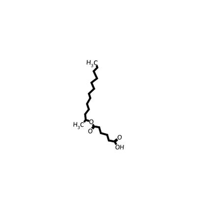 CCCCCCCCCCCC(C)OC(=O)CCCCC(=O)O